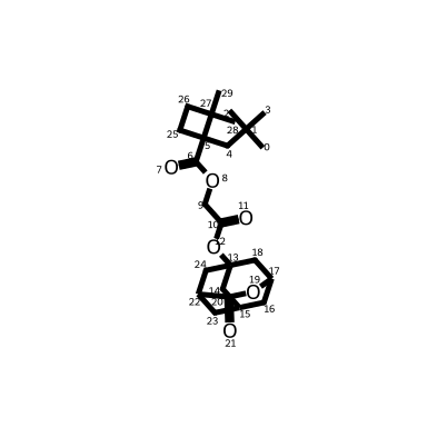 CC(C)(C)CC1(C(=O)OCC(=O)OC23CC4CC(C2)OC(=O)C(C4)C3)CCC1(C)C